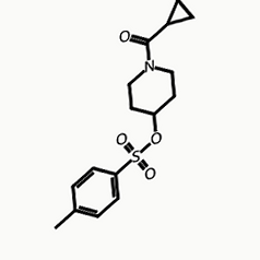 Cc1ccc(S(=O)(=O)OC2CCN(C(=O)C3CC3)CC2)cc1